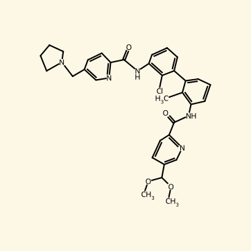 COC(OC)c1ccc(C(=O)Nc2cccc(-c3cccc(NC(=O)c4ccc(CN5CCCC5)cn4)c3Cl)c2C)nc1